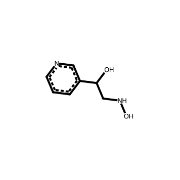 ONCC(O)c1cccnc1